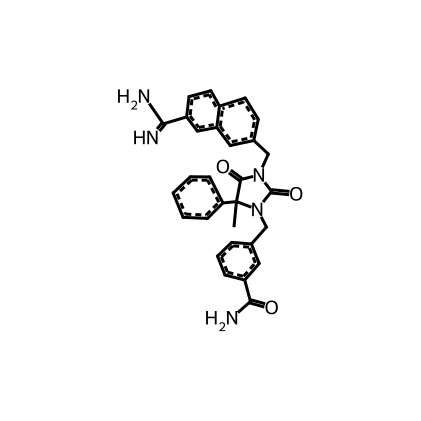 CC1(c2ccccc2)C(=O)N(Cc2ccc3ccc(C(=N)N)cc3c2)C(=O)N1Cc1cccc(C(N)=O)c1